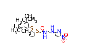 CC(C)(C)c1cc(S[C@@H]2CCCC[C@H]2SCC(=O)NCCNc2ccc([N+](=O)[O-])cn2)cc(C(C)(C)C)c1